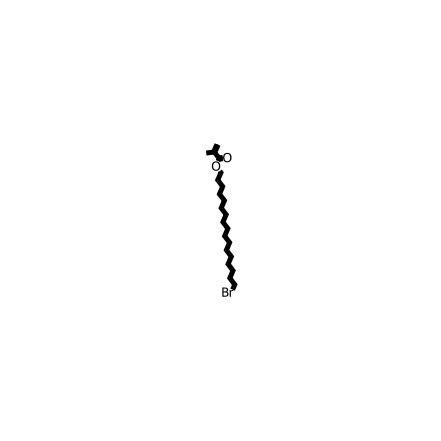 C=C(C)C(=O)OCCCCCCCCCCCCCCCCCBr